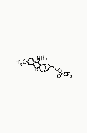 Cc1ccc2c(N)c3c(nc2c1)CC1C=C(CCOC(=O)C(F)(F)F)CC3C1